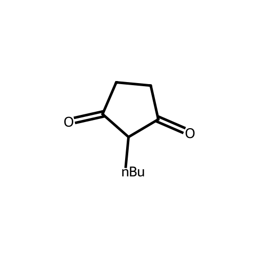 CCCCC1C(=O)CCC1=O